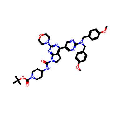 COc1ccc(CN(Cc2ccc(OC)cc2)c2ncc(-c3nc(N4CCOCC4)nc4c3CCN4C(=O)NC3CCN(C(=O)OC(C)(C)C)CC3)cn2)cc1